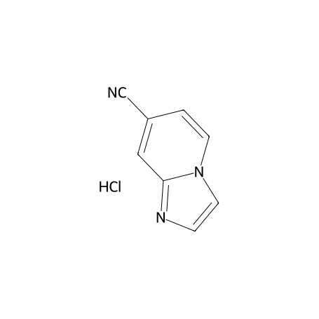 Cl.N#Cc1ccn2ccnc2c1